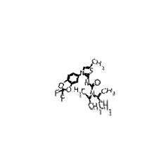 Cc1cn(-c2ccc3c(c2)OC(F)(F)O3)/c(=N/C(=O)N(C(C)C)C(C)C)s1